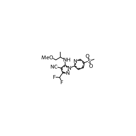 COCC(C)Nc1c(C#N)c(C(F)F)nn1-c1ccc(S(C)(=O)=O)cn1